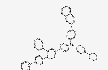 c1ccc(-c2ccc(-c3ccc(-c4ccc(N(c5ccc(-c6ccccc6)cc5)c5ccc(-c6ccc7ccccc7c6)cc5)cc4)cc3-c3ccccc3)cc2)cc1